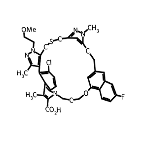 COCCn1nc(C)c2c1CSCc1cc(n(C)n1)CCc1cc(c3ccc(F)cc3c1)OCCCn1c(C(=O)O)c(C)c3c-2c(Cl)ccc31